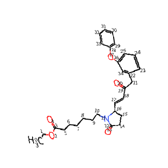 CCOC(=O)CCCCCCN1C(=O)CC[C@@H]1C=CC(=O)Cc1cccc(Oc2ccccc2)c1